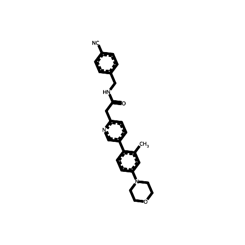 Cc1cc(N2CCOCC2)ccc1-c1ccc(CC(=O)NCc2ccc(C#N)cc2)nc1